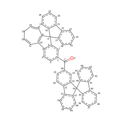 O=C(c1ccc2c(c1)C1(C3=C2C=CCC=C3)c2ccccc2-c2ccccc21)c1ccc2c(c1)C1(c3ccccc3-c3ccccc31)c1ccccc1-2